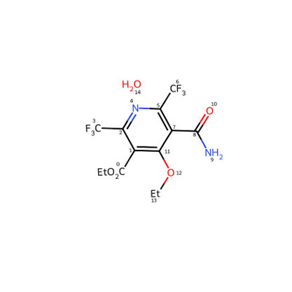 CCOC(=O)c1c(C(F)(F)F)nc(C(F)(F)F)c(C(N)=O)c1OCC.O